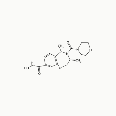 CC1c2ccc(C(=O)NO)cc2OC[C@H](C)N1C(=O)N1CCOCC1